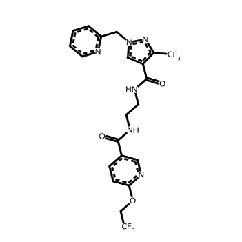 O=C(NCCNC(=O)c1cn(Cc2ccccn2)nc1C(F)(F)F)c1ccc(OCC(F)(F)F)nc1